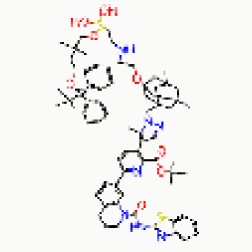 Cc1c(-c2ccc(-c3ccc4c(c3)N(C(=O)Nc3nc5ccccc5s3)CCC4)nc2C(=O)OC(C)(C)C)cnn1CC12CC3(C)CC(C)(C1)CC(OCCNCCS(O)(O)OCC(C)(C)CCO[Si](c1ccccc1)(c1ccccc1)C(C)(C)C)(C3)C2